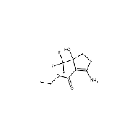 CCOC(=O)C1=C(N)SCC1(O)C(F)(F)F